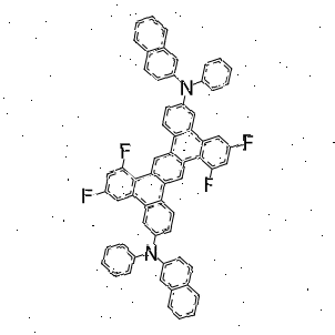 Fc1cc(F)c2c(c1)c1cc(N(c3ccccc3)c3ccc4ccccc4c3)ccc1c1cc3c(cc12)c1ccc(N(c2ccccc2)c2ccc4ccccc4c2)cc1c1cc(F)cc(F)c13